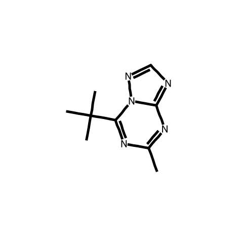 Cc1nc(C(C)(C)C)n2ncnc2n1